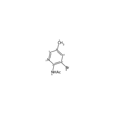 CC(=O)Nc1ncc(C)cc1Br